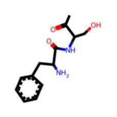 CC(=O)C(CO)NC(=O)C(N)Cc1ccccc1